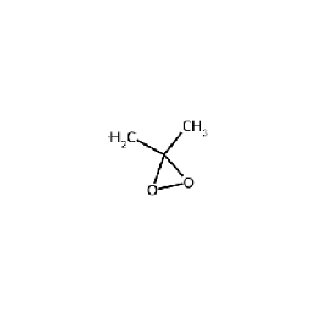 [CH2]C1(C)OO1